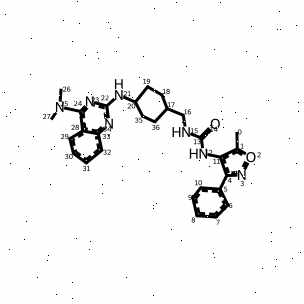 Cc1onc(-c2ccccc2)c1NC(=O)NCC1CCC(Nc2nc(N(C)C)c3ccccc3n2)CC1